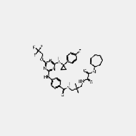 CC(C)(CNC(=O)C(=O)NC1CCCCCC1)CNC(=O)c1ccc(Nc2nc(NC3(c4ccc(Cl)cc4)CC3)nc(OCC(F)(F)F)n2)cc1